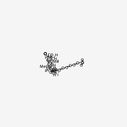 CC[C@H](C)[C@@H]([C@@H](CC(=O)N1CCC[C@H]1[C@H](OC)[C@@H](C)C(=S)N[C@@H](Cc1ccccc1)C(=O)O)OC)N(C)C(=O)[C@@H](NC(=O)C(C)(C)NC(=O)CCOCCOCCOCCOCCOCCOCCC1C(=O)C=CC1=O)C(C)C